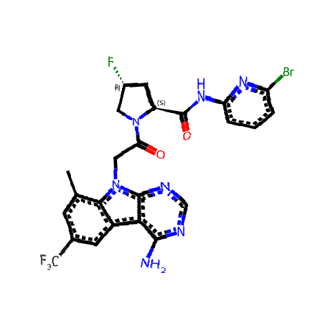 Cc1cc(C(F)(F)F)cc2c3c(N)ncnc3n(CC(=O)N3C[C@H](F)C[C@H]3C(=O)Nc3cccc(Br)n3)c12